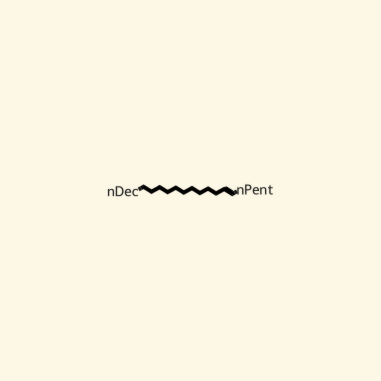 [CH2]CCCC/C=C/CCCCCCCCCCCCCCCCCCC[CH2]